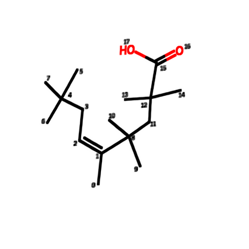 C/C(=C/CC(C)(C)C)C(C)(C)CC(C)(C)C(=O)O